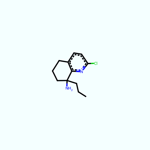 CCCC1(N)CCCc2ccc(Cl)nc21